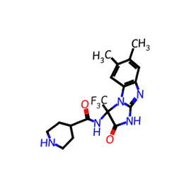 Cc1cc2nc3n(c2cc1C)C(NC(=O)C1CCNCC1)(C(F)(F)F)C(=O)N3